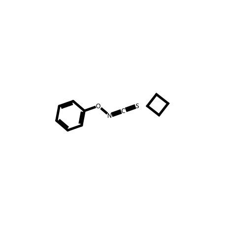 C1CCC1.S=C=NOc1ccccc1